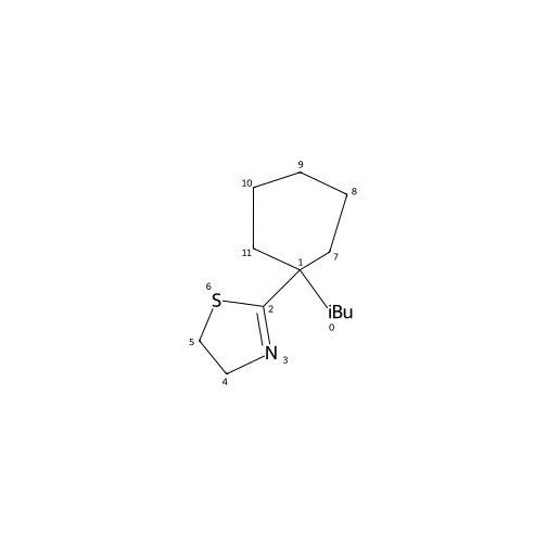 CCC(C)C1(C2=NCCS2)CCCCC1